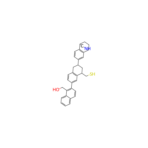 OCc1c(-c2ccc3c(c2)C(CS)CC(c2ccc4c(c2)C2CCC4CN2)C3)ccc2ccccc12